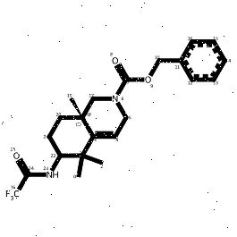 CC1(C)C2=CCN(C(=O)OCc3ccccc3)C[C@@]2(C)CCC1NC(=O)C(F)(F)F